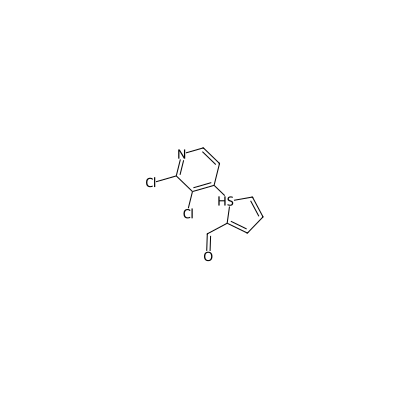 O=CC1=CC=C[SH]1c1ccnc(Cl)c1Cl